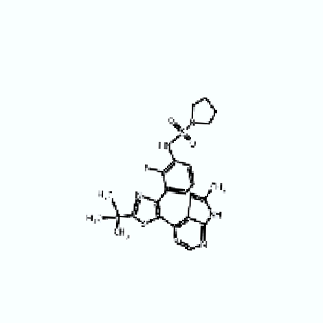 Cc1cc2c(-c3sc(C(C)(C)C)nc3-c3cccc(NS(=O)(=O)N4CCCC4)c3F)ncnc2[nH]1